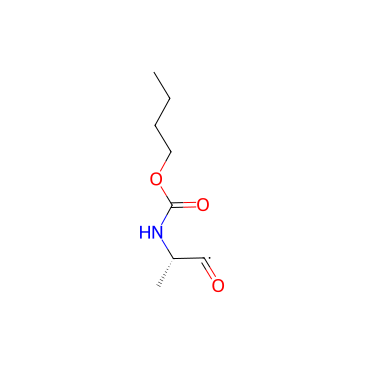 CCCCOC(=O)N[C@@H](C)[C]=O